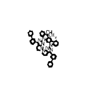 CC1(C)c2ccccc2N(c2nc(-c3cccc(-c4ccccc4)c3)c3cccnc3n2)c2cc3c(cc21)c1ccccc1n3-c1nc(-c2cccc(-c3ccccc3)c2)c2cccnc2n1